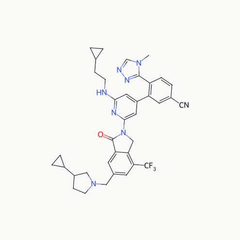 Cn1cnnc1-c1ccc(C#N)cc1-c1cc(NCCC2CC2)nc(N2Cc3c(cc(CN4CCC(C5CC5)C4)cc3C(F)(F)F)C2=O)c1